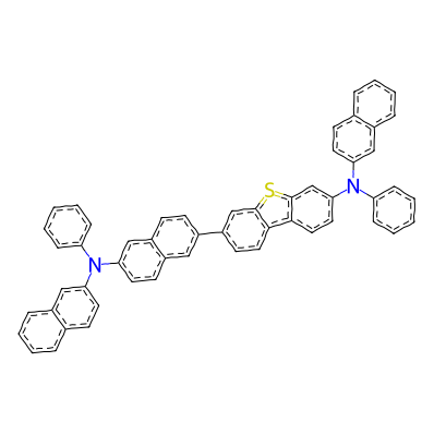 c1ccc(N(c2ccc3ccccc3c2)c2ccc3cc(-c4ccc5c(c4)sc4cc(N(c6ccccc6)c6ccc7ccccc7c6)ccc45)ccc3c2)cc1